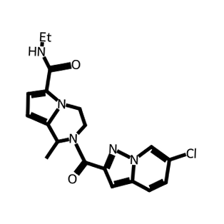 CCNC(=O)c1ccc2n1CCN(C(=O)c1cc3ccc(Cl)cn3n1)C2C